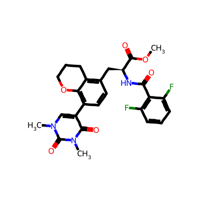 COC(=O)[C@H](Cc1ccc(-c2cn(C)c(=O)n(C)c2=O)c2c1CCCO2)NC(=O)c1c(F)cccc1F